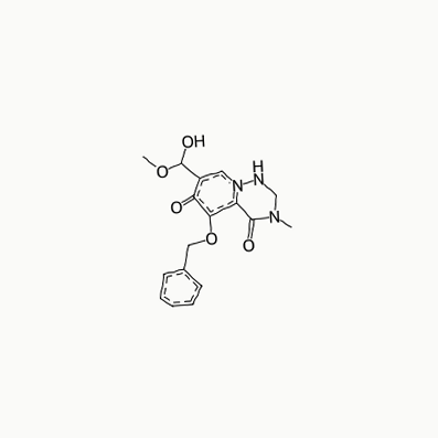 COC(O)c1cn2c(c(OCc3ccccc3)c1=O)C(=O)N(C)CN2